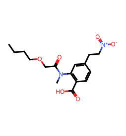 CCCCOCC(=O)N(C)c1cc(CC[N+](=O)[O-])ccc1C(=O)O